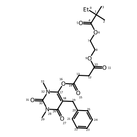 CCC(C)(C)C(=O)OCCOC(=O)CCC(=O)Oc1c(Cc2ccccc2)c(=O)n(C)c(=O)n1C